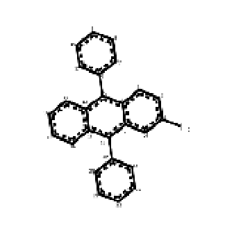 Ic1ccc2c(-c3ccccc3)c3ccccc3c(-c3ccccc3)c2c1